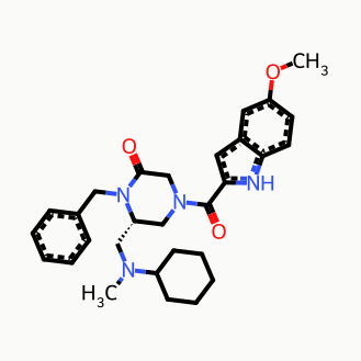 COc1ccc2[nH]c(C(=O)N3CC(=O)N(Cc4ccccc4)[C@@H](CN(C)C4CCCCC4)C3)cc2c1